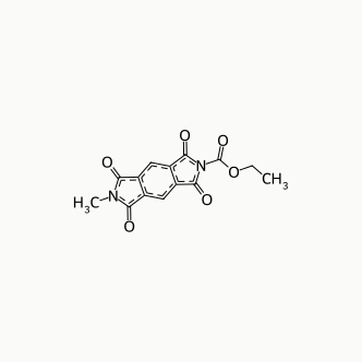 CCOC(=O)n1c(=O)c2cc3c(=O)n(C)c(=O)c3cc2c1=O